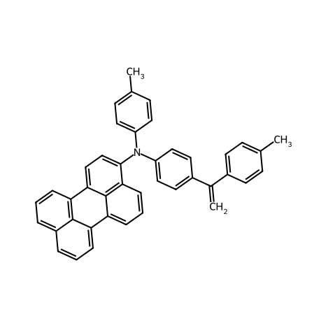 C=C(c1ccc(C)cc1)c1ccc(N(c2ccc(C)cc2)c2ccc3c4cccc5cccc(c6cccc2c63)c54)cc1